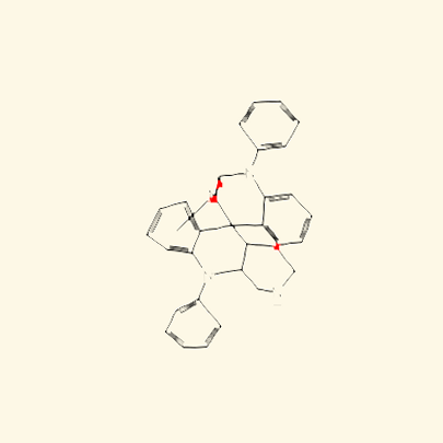 CN1CCCC2C1C1(c3ccccc3N(c3ccccc3)C3CNCCC31)c1ccccc1N2c1ccccc1